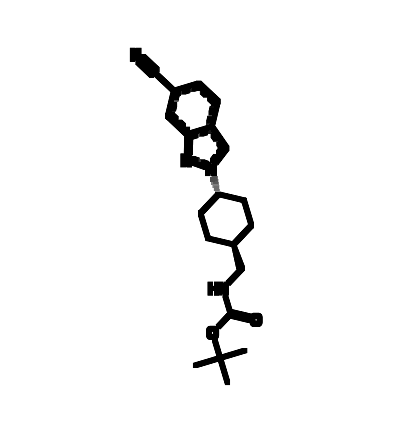 CC(C)(C)OC(=O)NC[C@H]1CC[C@H](n2cc3ccc(C#N)cc3n2)CC1